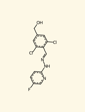 OCc1cc(Cl)c(/C=N/Nc2ccc(F)cn2)c(Cl)c1